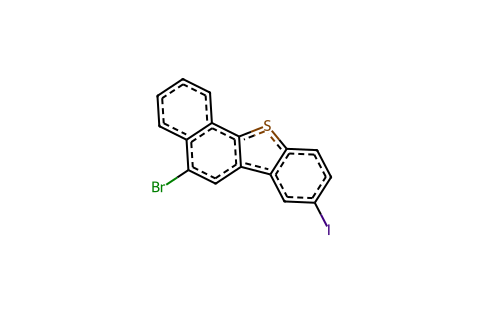 Brc1cc2c3cc(I)ccc3sc2c2ccccc12